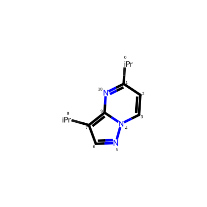 CC(C)c1ccn2ncc(C(C)C)c2n1